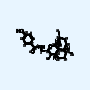 C[C@H]1[C@@H](CNC(=O)c2ccc(O)cc2)O[C@@H]2O[C@@]3(C)CC[C@H]4[C@H](C)CC[C@@H]1[C@@]24OO3